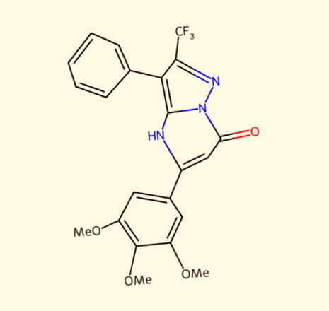 COc1cc(-c2cc(=O)n3nc(C(F)(F)F)c(-c4ccccc4)c3[nH]2)cc(OC)c1OC